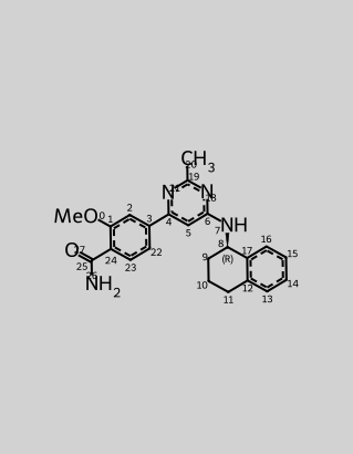 COc1cc(-c2cc(N[C@@H]3CCCc4ccccc43)nc(C)n2)ccc1C(N)=O